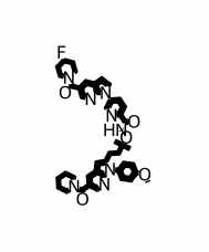 COc1ccc(-n2c(CCC(C)(C)ONC(=O)c3ccc(-n4ccc5cc(C(=O)N6CCC(F)CC6)cnc54)cn3)cc3cc(C(=O)N4CCCCC4)cnc32)cc1